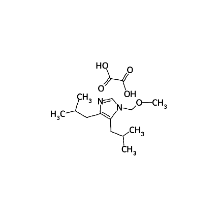 COCn1cnc(CC(C)C)c1CC(C)C.O=C(O)C(=O)O